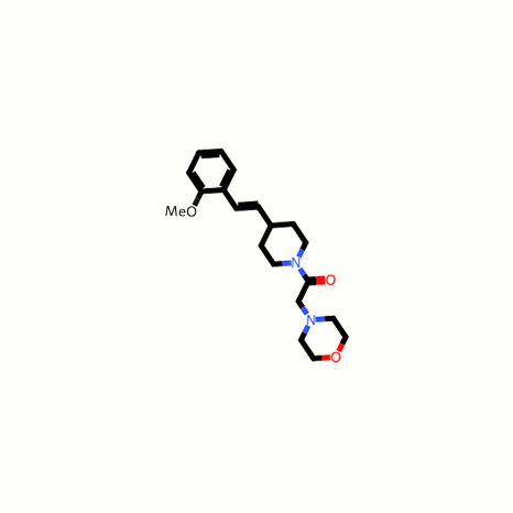 COc1ccccc1/C=C/C1CCN(C(=O)CN2CCOCC2)CC1